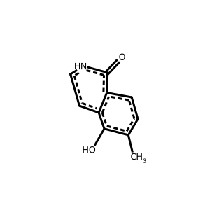 Cc1ccc2c(=O)[nH]ccc2c1O